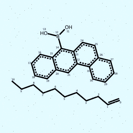 C=CCCCCCCCCC.OB(O)c1c2ccccc2cc2c1ccc1ccccc12